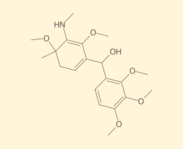 CNC1=C(OC)C(C(O)c2ccc(OC)c(OC)c2OC)=CCC1(C)OC